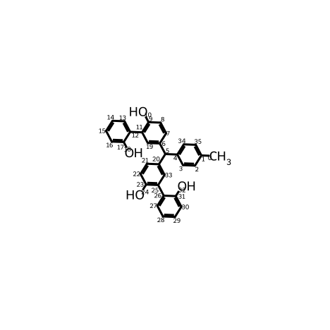 Cc1ccc(C(c2ccc(O)c(-c3ccccc3O)c2)c2ccc(O)c(-c3ccccc3O)c2)cc1